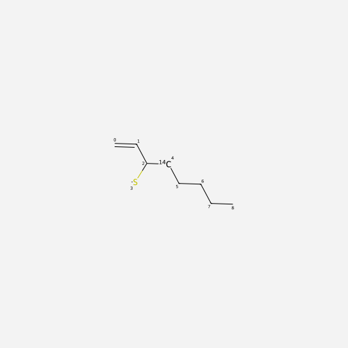 C=CC([S])[14CH2]CCCC